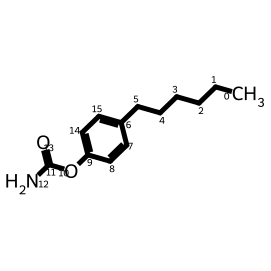 CCCCCCc1ccc(OC(N)=O)cc1